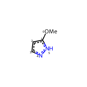 COc1c[c]n[nH]1